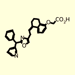 O=C(O)COc1cccc2c1CCC/C2=C/Cc1coc(C(c2ccccc2)c2cccnc2)n1